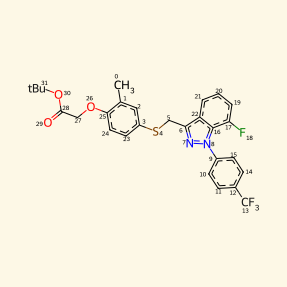 Cc1cc(SCc2nn(-c3ccc(C(F)(F)F)cc3)c3c(F)cccc23)ccc1OCC(=O)OC(C)(C)C